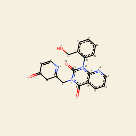 O=C1C=CN=C(Cn2c(=O)c3cccnc3n(-c3ccccc3CO)c2=O)C1